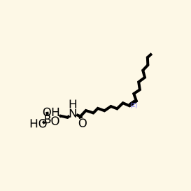 CCCCCCCC/C=C\CCCCCCCC(=O)NCCOB(O)O